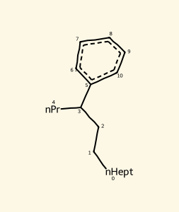 CCCCCCCCCC(CCC)c1[c]cccc1